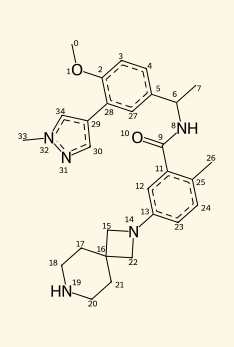 COc1ccc(C(C)NC(=O)c2cc(N3CC4(CCNCC4)C3)ccc2C)cc1-c1cnn(C)c1